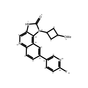 COC1CC(n2c(=O)[nH]c3cnc4ccc(-c5ccc(F)nc5)cc4c32)C1